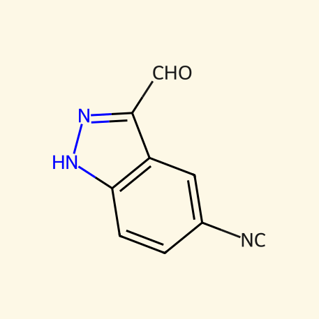 [C-]#[N+]c1ccc2[nH]nc(C=O)c2c1